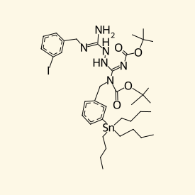 CCC[CH2][Sn]([CH2]CCC)([CH2]CCC)[c]1cccc(CN(C(=O)OC(C)(C)C)C(=NC(=O)OC(C)(C)C)NNC(N)=NCc2cccc(I)c2)c1